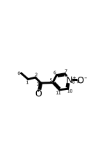 CCCC(=O)c1cc[n+]([O-])cc1